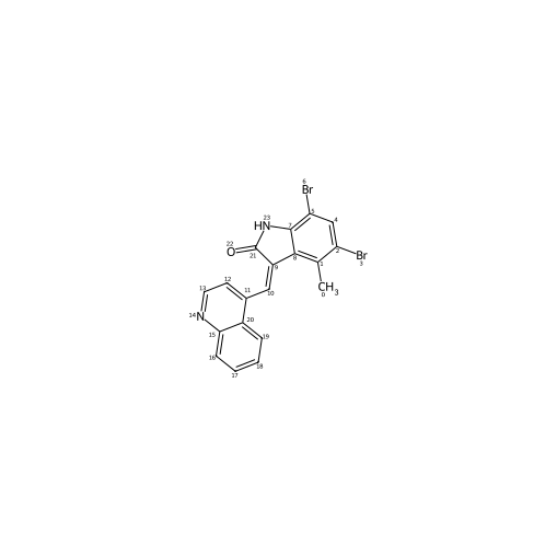 Cc1c(Br)cc(Br)c2c1C(=Cc1ccnc3ccccc13)C(=O)N2